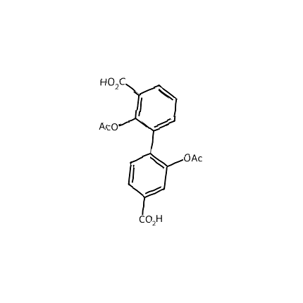 CC(=O)Oc1cc(C(=O)O)ccc1-c1cccc(C(=O)O)c1OC(C)=O